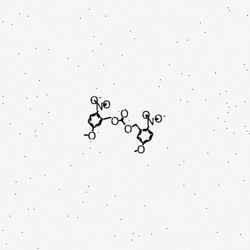 COc1ccc([N+](=O)[O-])c(COC(=O)OCc2cc(OC)ccc2[N+](=O)[O-])c1